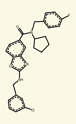 O=C(c1ccc2oc(NCc3cccc(Cl)c3)nc2c1)N(Cc1ccc(F)cc1)C1CCCC1